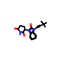 CC(C)(C)C#Cn1c(=O)n(C2CCC(=O)NC2=O)c2ccccc21